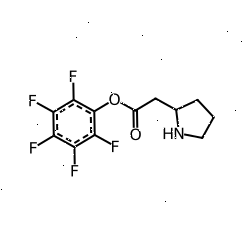 O=C(CC1CCCN1)Oc1c(F)c(F)c(F)c(F)c1F